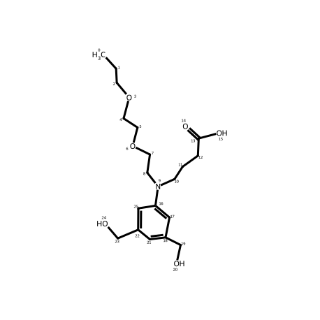 CCCOCCOCCN(CCCC(=O)O)c1cc(CO)cc(CO)c1